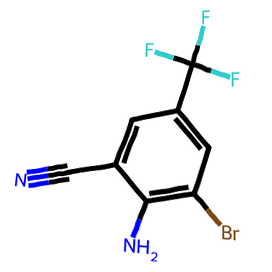 N#Cc1cc(C(F)(F)F)cc(Br)c1N